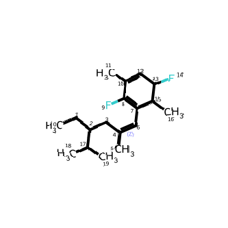 CCC(C/C(C)=C\C1=C(F)C(C)=CC(F)C1C)C(C)C